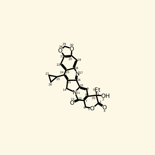 CC[C@@]1(O)C(=O)OCc2c1cc1n(c2=O)Cc2c-1nc1cc3c(cc1c2C1CC1)OCO3